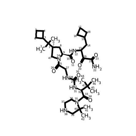 CC(C)(C1CCC1)C1C[C@@H](C(=O)NC(CC2CCC2)C(=O)C(N)=O)N(C(=O)CNC(=O)N[C@H](C(=O)N2CCNCC2(C)C)C(C)(C)C)C1